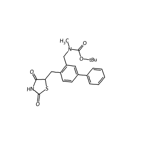 CN(Cc1cc(-c2ccccc2)ccc1CC1SC(=O)NC1=O)C(=O)OC(C)(C)C